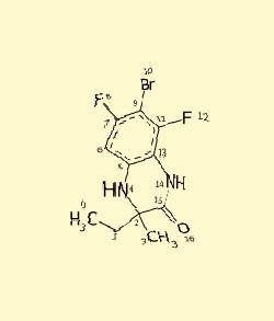 CCC1(C)Nc2cc(F)c(Br)c(F)c2NC1=O